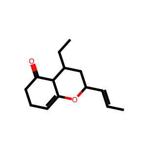 CC=CC1CC(CC)C2C(=O)CCC=C2O1